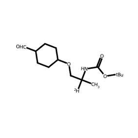 [2H]C(C)(COC1CCC(C=O)CC1)NC(=O)OC(C)(C)C